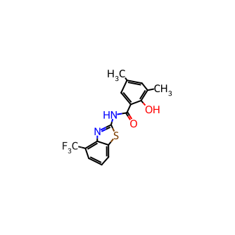 Cc1cc(C)c(O)c(C(=O)Nc2nc3c(C(F)(F)F)cccc3s2)c1